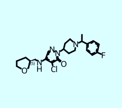 CC(c1ccc(F)cc1)N1CCC(n2ncc(NC[C@@H]3CCCOC3)c(Cl)c2=O)CC1